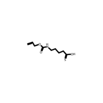 C=CCOC(=O)NCCCCC(O)=S